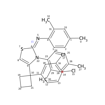 Cc1ccc(/N=c2/scc(C3(c4ccc(Cl)c(Cl)c4)CCC3)n2-c2ccc(C)cc2C)c(C)c1